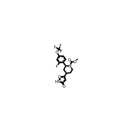 COC(=O)N1CCC(c2cc(=O)[nH]o2)CC1c1ccc(OC(F)(F)F)cc1F